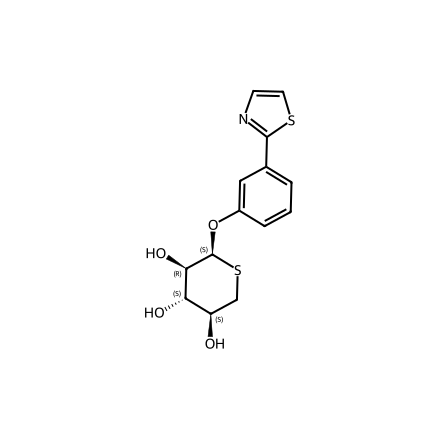 O[C@@H]1[C@@H](O)[C@@H](Oc2cccc(-c3nccs3)c2)SC[C@H]1O